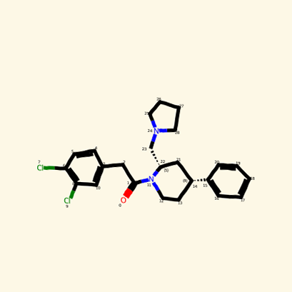 O=C(Cc1ccc(Cl)c(Cl)c1)N1CC[C@@H](c2ccccc2)C[C@H]1CN1CCCC1